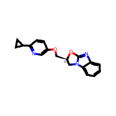 c1ccc2c(c1)nc1n2C[C@@H](COc2ccc(C3CC3)nc2)O1